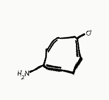 NC1=CCC=C(Cl)C=C1